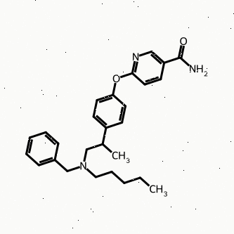 CCCCCN(Cc1ccccc1)CC(C)c1ccc(Oc2ccc(C(N)=O)cn2)cc1